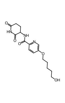 O=C1CCC(NC(=O)c2ccc(OCCCCCO)cn2)C(=O)N1